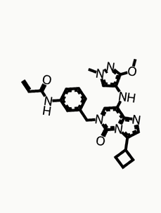 C=CC(=O)Nc1cccc(Cn2cc(Nc3cn(C)nc3OC)c3ncc(C4CCC4)n3c2=O)c1